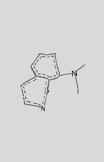 CN(C)c1cccc2ccncc12